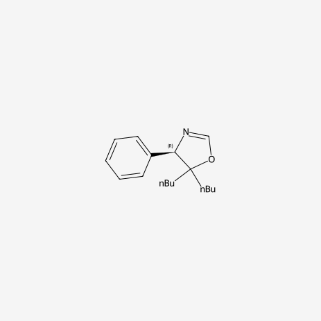 CCCCC1(CCCC)OC=N[C@@H]1c1ccccc1